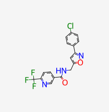 O=C(NCc1cc(-c2ccc(Cl)cc2)no1)c1ccc(C(F)(F)F)nc1